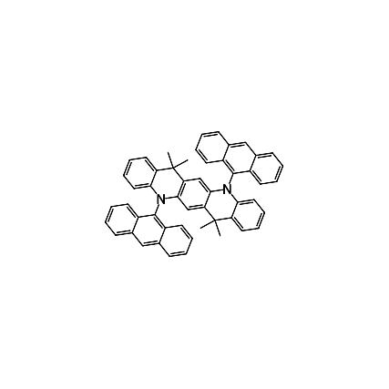 CC1(C)c2ccccc2N(c2c3ccccc3cc3ccccc23)c2cc3c(cc21)N(c1c2ccccc2cc2ccccc12)c1ccccc1C3(C)C